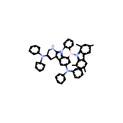 Cc1cc(C)c2c(c1)c1cc(C)cc(C)c1n2B1c2ccccc2-n2c3c(c4cc(N(c5ccccc5)c5ccccc5)cc1c42)C=C(N(c1ccccc1)c1ccccc1)CN3